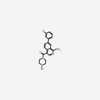 CC(=O)N1CCN(C(=O)c2cnc(N)c3cc(-c4cccc(F)c4)ccc23)CC1